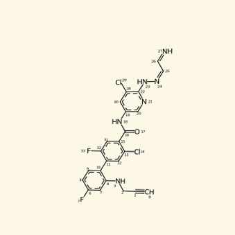 C#CCNc1cc(F)ccc1-c1cc(Cl)c(C(=O)Nc2cnc(N/N=C\C=N)c(Cl)c2)cc1F